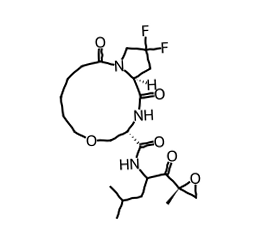 CC(C)CC(NC(=O)[C@@H]1COCCCCCC(=O)N2CC(F)(F)C[C@H]2C(=O)N1)C(=O)[C@@]1(C)CO1